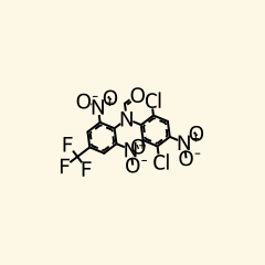 O=CN(c1cc(Cl)c([N+](=O)[O-])cc1Cl)c1c([N+](=O)[O-])cc(C(F)(F)F)cc1[N+](=O)[O-]